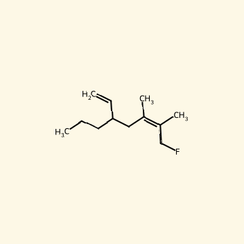 C=CC(CCC)C/C(C)=C(/C)CF